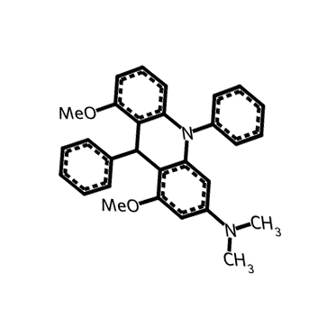 COc1cccc2c1C(c1ccccc1)c1c(OC)cc(N(C)C)cc1N2c1ccccc1